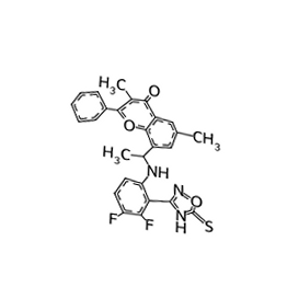 Cc1cc(C(C)Nc2ccc(F)c(F)c2-c2noc(=S)[nH]2)c2oc(-c3ccccc3)c(C)c(=O)c2c1